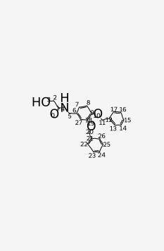 O=C(CO)NCc1ccc(OCc2ccccc2)c(OCc2ccccc2)c1